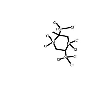 CC1([SiH](Cl)Cl)C[Si](Cl)(Cl)C([Si](Cl)(Cl)Cl)C[Si]1(Cl)Cl